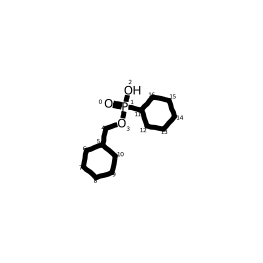 O=P(O)(OCC1CCCCC1)C1CCCCC1